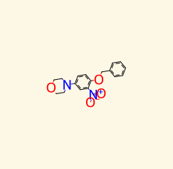 O=[N+]([O-])c1cc(N2CCOCC2)ccc1OCc1ccccc1